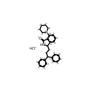 Cl.O=C1NC(CCC(c2ccccc2)c2ccccc2)c2cccc(N3CCCCC3)c21